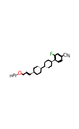 CCCOCC=C[C@H]1CC[C@H]([C@H]2CC[C@H](c3ccc(C#N)cc3F)CC2)CC1